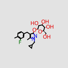 Cc1ccc(Cc2c(O[C@@H]3O[C@H](CO)[C@@H](O)[C@H](O)[C@H]3O)nn(CC3CC3)c2C)cc1F